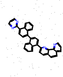 c1cnc(-c2ccc(-c3ccc(-c4ccc5ccc6cccnc6c5n4)c4ccccc34)c3ccccc23)nc1